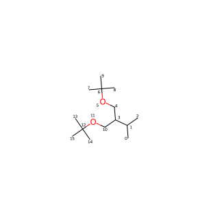 CC(C)C(COC(C)(C)C)COC(C)(C)C